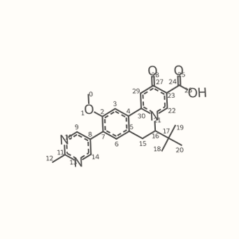 COc1cc2c(cc1-c1cnc(C)nc1)CC(C(C)(C)C)n1cc(C(=O)O)c(=O)cc1-2